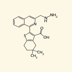 CC1(C)CCc2sc(-c3nc(CNN)cc4ccccc34)c(C(=O)O)c2C1